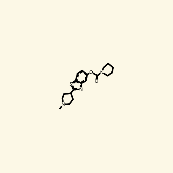 CN1CCC(c2nc3cc(OC(=O)N4CCCCC4)ccc3s2)CC1